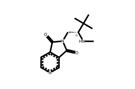 CN[C@H](CN1C(=O)c2ccncc2C1=O)C(C)(C)C